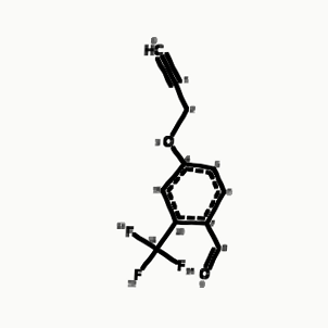 C#CCOc1ccc(C=O)c(C(F)(F)F)c1